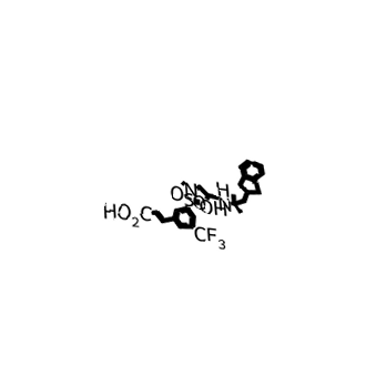 CN(CC(O)CNC(C)(C)CC1Cc2ccccc2C1)S(=O)(=O)c1cc(C=CC(=O)O)cc(C(F)(F)F)c1